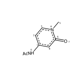 CC(=O)Nc1ccn(C)c(=O)c1